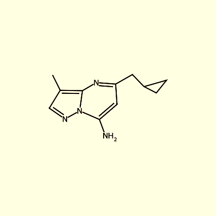 Cc1cnn2c(N)cc(CC3CC3)nc12